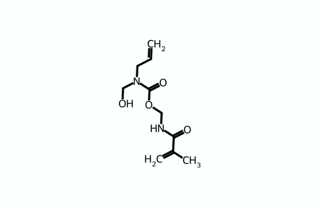 C=CCN(CO)C(=O)OCNC(=O)C(=C)C